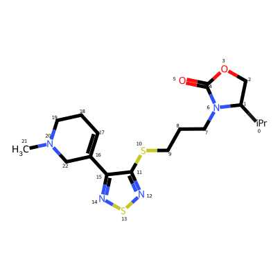 CC(C)C1COC(=O)N1CCCSc1nsnc1C1=CCCN(C)C1